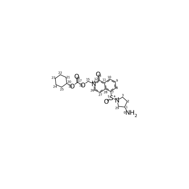 NC1CCN([S+]([O-])c2cccc3c(=O)n(COC(=O)OC4CCCCC4)ccc23)C1